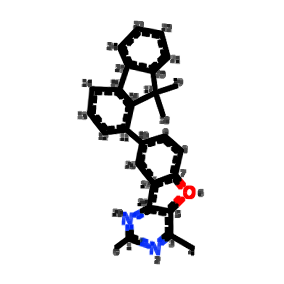 Cc1nc(C)c2oc3ccc(-c4cccc5c4C(C)(C)c4ccccc4-5)cc3c2n1